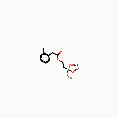 CCCO[Si](CCOC(=O)Cc1ccccc1C)(OCCC)OCCC